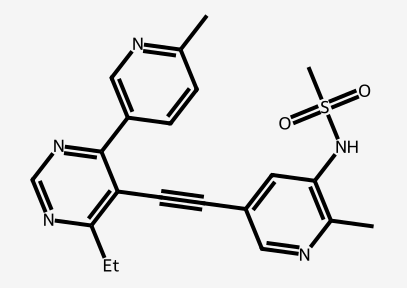 CCc1ncnc(-c2ccc(C)nc2)c1C#Cc1cnc(C)c(NS(C)(=O)=O)c1